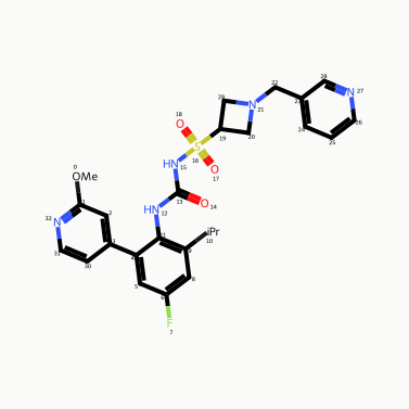 COc1cc(-c2cc(F)cc(C(C)C)c2NC(=O)NS(=O)(=O)C2CN(Cc3cccnc3)C2)ccn1